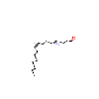 CCCCCCC/C=C\CC/C=C/CCC=O